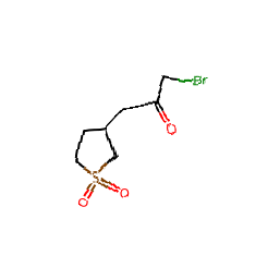 O=C(CBr)CC1CCS(=O)(=O)C1